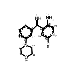 N=C(c1ccnc(N2CCOCC2)c1)c1cc(Cl)ncc1N